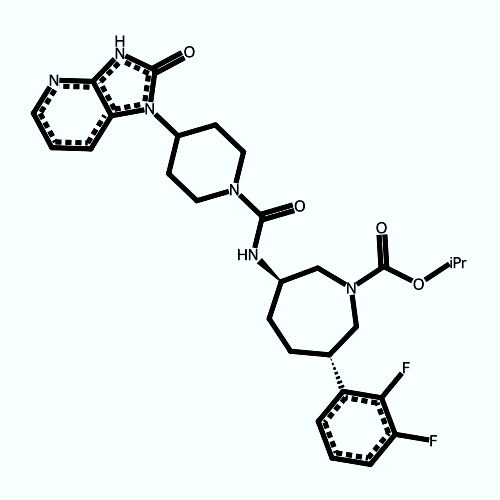 CC(C)OC(=O)N1C[C@H](NC(=O)N2CCC(n3c(=O)[nH]c4ncccc43)CC2)CC[C@@H](c2cccc(F)c2F)C1